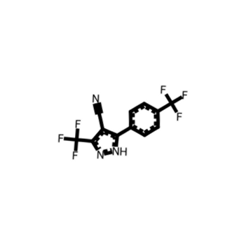 N#Cc1c(C(F)(F)F)n[nH]c1-c1ccc(C(F)(F)F)cc1